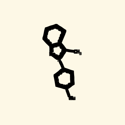 Cc1c2ccccc2nn1-c1ccc(C(C)(C)C)cc1